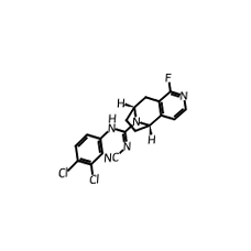 N#CN=C(Nc1ccc(Cl)c(Cl)c1)N1[C@@H]2CC[C@H]1c1ccnc(F)c1C2